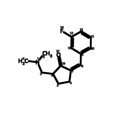 CN(C)CC1CCC(=Cc2cccc(F)c2)C1=O